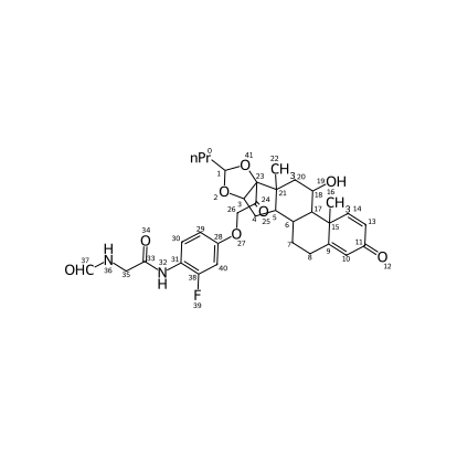 CCCC1OC2CC3C4CCC5=CC(=O)C=CC5(C)C4C(O)CC3(C)C2(C(=O)COc2ccc(NC(=O)CNC=O)c(F)c2)O1